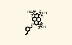 C=Cc1cccc(COc2cc(S(=O)(=O)O)c3ccc4c(S(=O)(=O)O)cc(S(=O)(=O)O)c5ccc2c3c54)c1